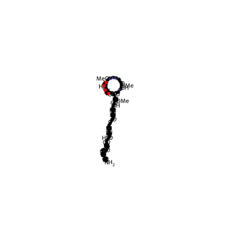 CO[C@H]1C[C@@H]2CC[C@@H](C)[C@@](O)(O2)C(=O)C(=O)N2CCCC[C@H]2C(=O)O[C@H]([C@H](C)C[C@@H]2CC[C@@H](OC(=O)NCc3cnc(N4CCN(C(=O)CCOCCN5CCN(c6ncc(C(=O)NCCS(=O)(=O)c7ccc(C(=O)N8CCOc9ccc(-c%10ccc(N)nc%10)cc9C8)c(C)c7)cn6)CC5)CC4)nc3)[C@H](OC)C2)CC(=O)[C@H](C)/C=C(\C)[C@@H](O)[C@@H](OC)C(=O)[C@H](C)C[C@H](C)/C=C/C=C/C=C/1C